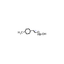 Cc1ccc(/C=C/OBO)cc1